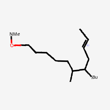 C/C=C/CC(C(C)CC)C(C)CCCCCONC